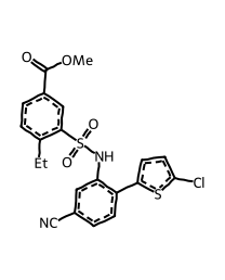 CCc1ccc(C(=O)OC)cc1S(=O)(=O)Nc1cc(C#N)ccc1-c1ccc(Cl)s1